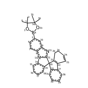 CC1(C)OB(c2ccc3c(c2)nc2n3-c3ccccc3C23C2=C(C=CCC2)c2ccccc23)OC1(C)C